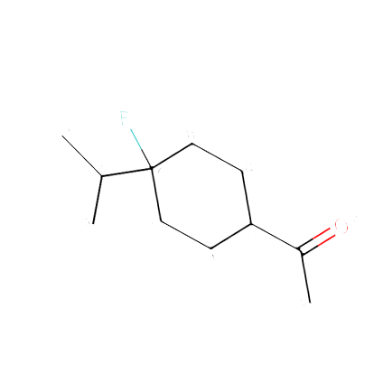 CC(=O)C1CCC(F)(C(C)C)CC1